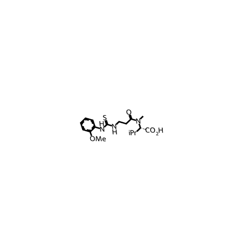 COc1ccccc1NC(=S)NCCC(=O)N(C)[C@H](C(=O)O)C(C)C